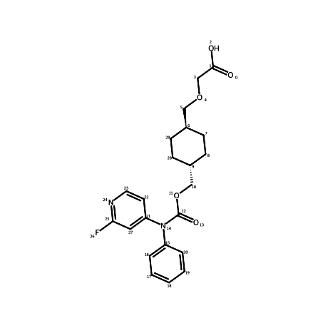 O=C(O)COC[C@H]1CC[C@H](COC(=O)N(c2ccccc2)c2ccnc(F)c2)CC1